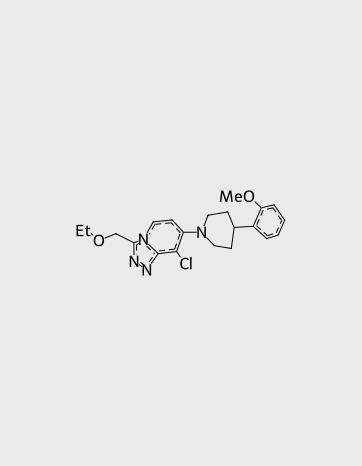 CCOCc1nnc2c(Cl)c(N3CCC(c4ccccc4OC)CC3)ccn12